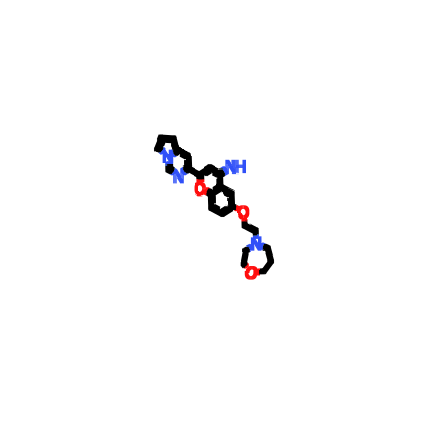 N=c1cc(-c2cc3cccn3cn2)oc2ccc(OCCN3CCCOCC3)cc12